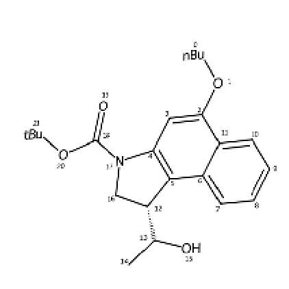 CCCCOc1cc2c(c3ccccc13)[C@H](C(C)O)CN2C(=O)OC(C)(C)C